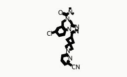 CN(C)C(=O)N1Cc2cc(Cl)ccc2-n2c(nnc2C2CC3(C2)CN(c2cccc(C#N)n2)C3)C1